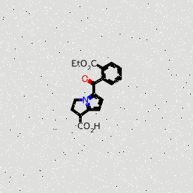 CCOC(=O)c1ccccc1C(=O)c1ccc2n1CCC2C(=O)O